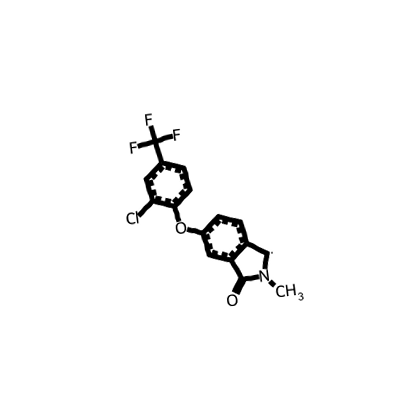 CN1[CH]c2ccc(Oc3ccc(C(F)(F)F)cc3Cl)cc2C1=O